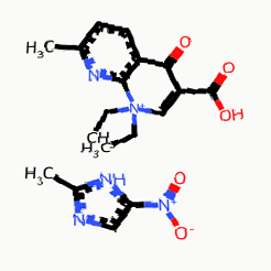 CC[N+]1(CC)C=C(C(=O)O)C(=O)c2ccc(C)nc21.Cc1ncc([N+](=O)[O-])[nH]1